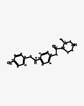 C[C@H]1CNCCN1C(=O)Cc1ccc(NCc2ccc(Cl)cc2)cc1